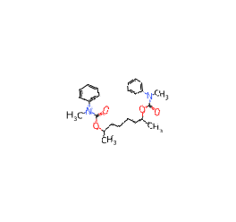 CC(CCCCC(C)OC(=O)N(C)c1ccccc1)OC(=O)N(C)c1ccccc1